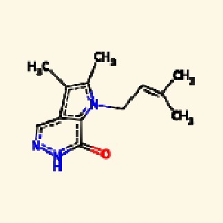 CC(C)=CCn1c(C)c(C)c2cn[nH]c(=O)c21